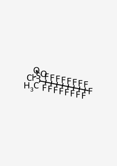 CC(C(F)(F)C(F)(F)C(F)(F)C(F)(F)C(F)(F)C(F)(F)C(F)(F)C(F)(F)F)S(=O)(=O)Cl